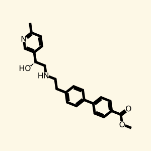 COC(=O)c1ccc(-c2ccc(CCNC[C@H](O)c3ccc(C)nc3)cc2)cc1